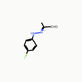 C/C(C=O)=N\Nc1ccc(F)cc1